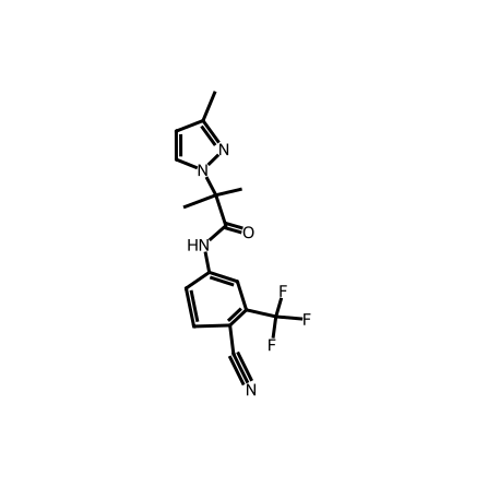 Cc1ccn(C(C)(C)C(=O)Nc2ccc(C#N)c(C(F)(F)F)c2)n1